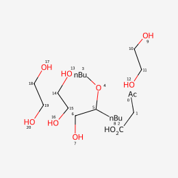 CC(=O)CC(=O)O.CCCCOC(CO)CCCC.OCCO.OCCO.OCCO